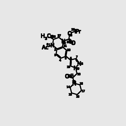 CC(=O)N1c2ccc(-c3cnn(CC(=O)N4CCCCC4)c3)cc2N(C(=O)OC(C)C)C[C@@H]1C